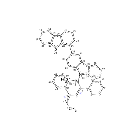 C/N=C(\C=C(\c1ccccc1)N(C)n1c2ccccc2c2cc(-c3cccc4c3sc3ccccc34)ccc21)c1ccccc1